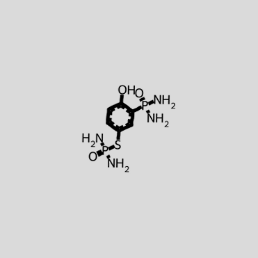 NP(N)(=O)Sc1ccc(O)c(P(N)(N)=O)c1